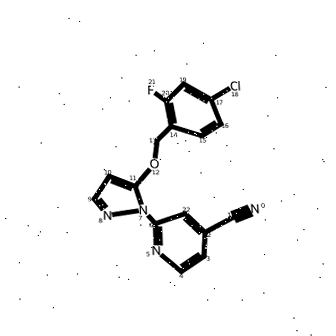 N#Cc1ccnc(-n2nccc2OCc2ccc(Cl)cc2F)c1